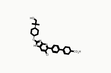 CC(C)(CO)[C@H]1CC[C@H](Oc2nc3nc(-c4ccc(C5=CCC(C(=O)O)CC5)cc4)c(Cl)cc3[nH]2)CC1